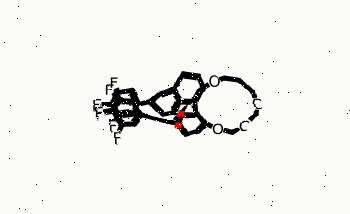 Fc1cc(-c2ccc3c4c(ccc3c2)OCCCCCCCOc2ccc3cc(-c5cc(F)c(F)c(F)c5)ccc3c2-4)cc(F)c1F